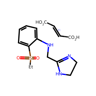 CCS(=O)(=O)c1ccccc1NCC1=NCCN1.O=C(O)/C=C/C(=O)O